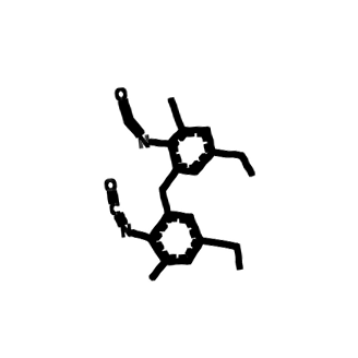 CCc1cc(C)c(N=C=O)c(Cc2cc(CC)cc(C)c2N=C=O)c1